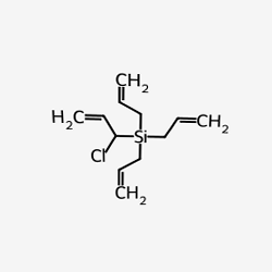 C=CC[Si](CC=C)(CC=C)C(Cl)C=C